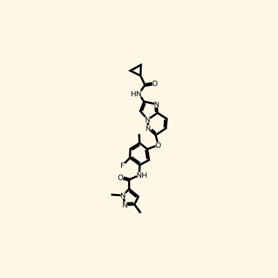 Cc1cc(C(=O)Nc2cc(Oc3ccc4nc(NC(=O)C5CC5)cn4n3)c(C)cc2F)n(C)n1